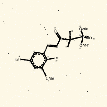 COc1cc(C(C)(C)C)cc(/C=C/C(=O)C(C)(C)P(=O)(OC)OC)c1O